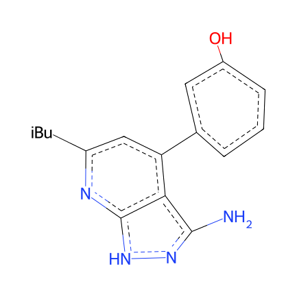 CCC(C)c1cc(-c2cccc(O)c2)c2c(N)n[nH]c2n1